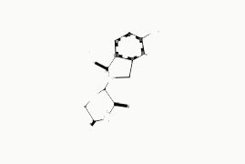 O=C1CCC(N2Cc3cc(O)ccc3C2=O)C(=O)N1